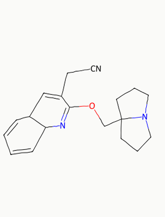 N#CCC1=CC2C=CC=CC2N=C1OCC12CCCN1CCC2